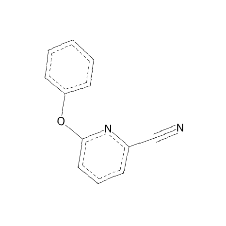 N#Cc1cccc(Oc2ccccc2)n1